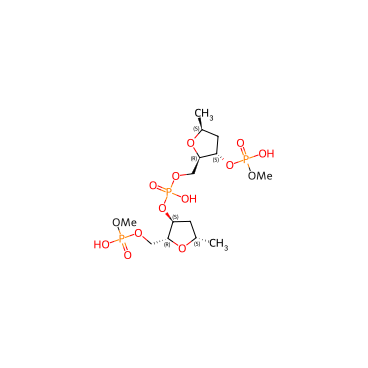 COP(=O)(O)OC[C@H]1O[C@@H](C)C[C@@H]1OP(=O)(O)OC[C@H]1O[C@@H](C)C[C@@H]1OP(=O)(O)OC